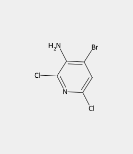 Nc1c(Br)cc(Cl)nc1Cl